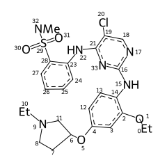 CCOc1cc(OC2CCN(CC)C2)ccc1Nc1ncc(Cl)c(Nc2ccccc2S(=O)(=O)NC)n1